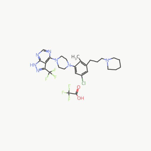 Cc1c(CCCN2CCCCC2)cc(Cl)cc1N1CCN(c2ncnc3[nH]nc(C(F)(F)F)c23)CC1.O=C(O)C(F)(F)F